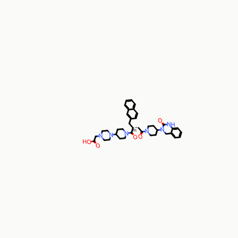 O=C(O)CN1CCN(C2CCN(C(=O)[C@@H](CC(=O)N3CCC(N4Cc5ccccc5NC4=O)CC3)Cc3ccc4ccccc4c3)CC2)CC1